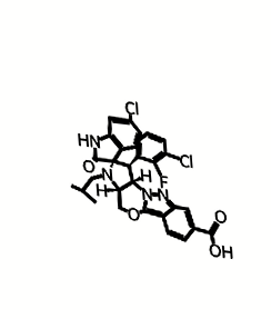 CC(C)CN1[C@H]2COc3c4ccc(C(=O)O)cc4nn3[C@H]2[C@H](c2cccc(Cl)c2F)[C@]12C(=O)Nc1cc(Cl)ccc12